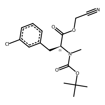 CN(C(=O)OC(C)(C)C)[C@@H](Cc1cccc(Cl)c1)C(=O)OCC#N